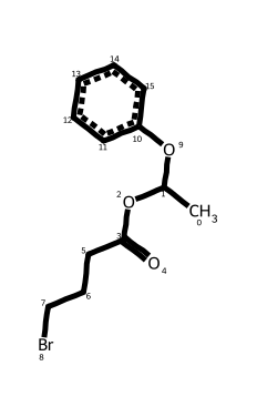 CC(OC(=O)CCCBr)Oc1ccccc1